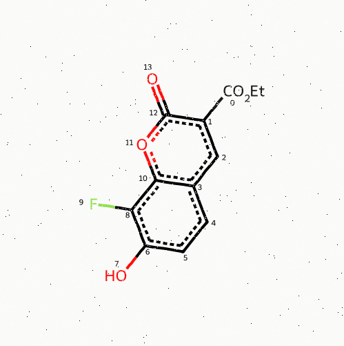 CCOC(=O)c1cc2ccc(O)c(F)c2oc1=O